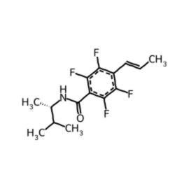 CC=Cc1c(F)c(F)c(C(=O)N[C@@H](C)C(C)C)c(F)c1F